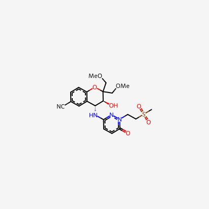 COCC1(COC)Oc2ccc(C#N)cc2[C@@H](Nc2ccc(=O)n(CCS(C)(=O)=O)n2)[C@@H]1O